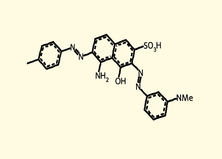 CNc1cccc(N=Nc2c(S(=O)(=O)O)cc3ccc(N=Nc4ccc(C)cc4)c(N)c3c2O)c1